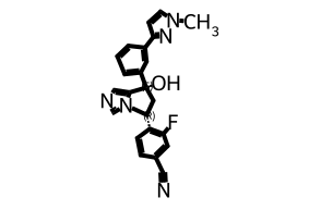 Cn1ccc(-c2cccc([C@@]3(O)C[C@H](c4ccc(C#N)cc4F)n4cncc43)c2)n1